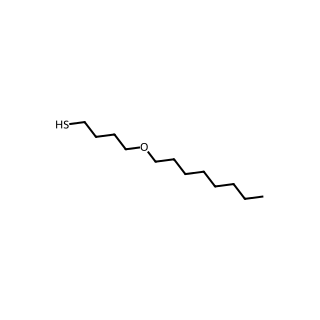 CCCCCCCCOCCCCS